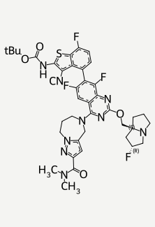 CN(C)C(=O)c1cc2n(n1)CCCN(c1nc(OC[C@@]34CCCN3C[C@H](F)C4)nc3c(F)c(-c4ccc(F)c5sc(NC(=O)OC(C)(C)C)c(C#N)c45)c(F)cc13)C2